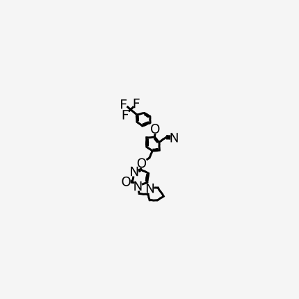 N#Cc1cc(COc2cc3n(c(=O)n2)CC2CCCCN32)ccc1Oc1ccc(C(F)(F)F)cc1